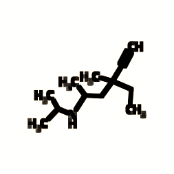 C#CC(C)(CC)CC(C)NC(C)C